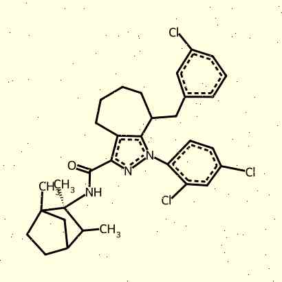 CC1C2CCC(C)(C2)[C@@]1(C)NC(=O)c1nn(-c2ccc(Cl)cc2Cl)c2c1CCCCC2Cc1cccc(Cl)c1